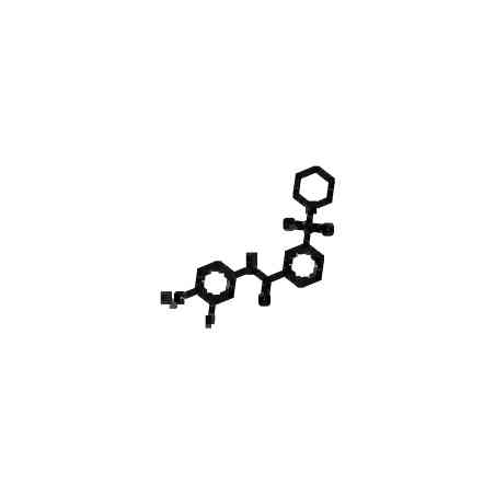 Cc1ccc(NC(=O)c2cccc(S(=O)(=O)N3CCCCC3)c2)cc1F